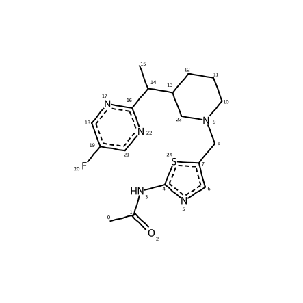 CC(=O)Nc1ncc(CN2CCCC(C(C)c3ncc(F)cn3)C2)s1